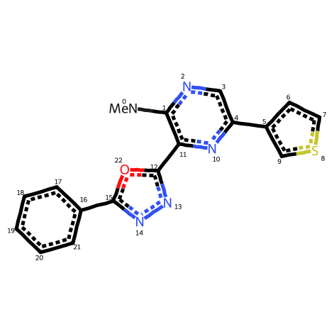 CNc1ncc(-c2ccsc2)nc1-c1nnc(-c2ccccc2)o1